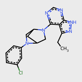 CCc1n[nH]c2ncnc(N3CC4CC3CN4c3cccc(Cl)c3)c12